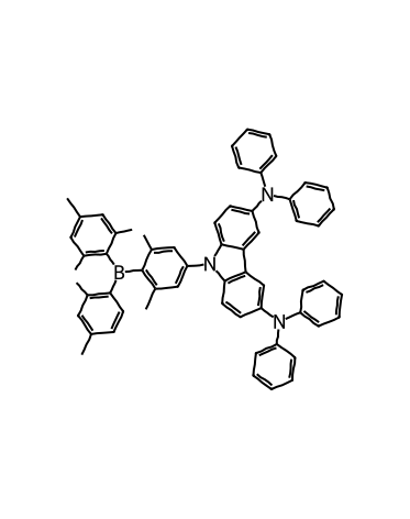 Cc1ccc(B(c2c(C)cc(C)cc2C)c2c(C)cc(-n3c4ccc(N(c5ccccc5)c5ccccc5)cc4c4cc(N(c5ccccc5)c5ccccc5)ccc43)cc2C)c(C)c1